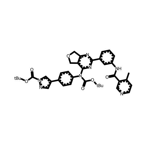 Cc1ccncc1C(=O)Nc1cccc(-c2nc3c(c(N(C(=O)OC(C)(C)C)c4ccc(-c5cnn(C(=O)OC(C)(C)C)c5)cc4)n2)COC3)c1